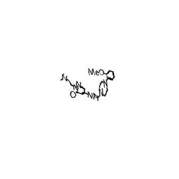 COc1ccccc1N1CCN(CCNc2cnn(CCN(C)C)c(=O)c2)CC1